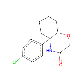 O=C1COC2CCCCC2(c2ccc(Cl)cc2)N1